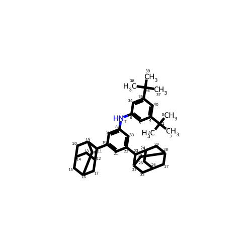 CC(C)(C)c1cc(Nc2cc(C3C4CC5CC(C4)CC3C5)cc(C3C4CC5CC(C4)CC3C5)c2)cc(C(C)(C)C)c1